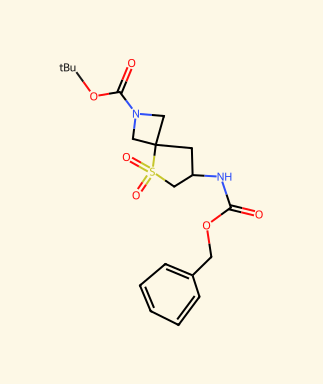 CC(C)(C)OC(=O)N1CC2(CC(NC(=O)OCc3ccccc3)CS2(=O)=O)C1